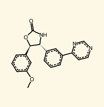 COc1cccc([C@H]2OC(=O)N[C@@H]2c2cccc(-c3ccncn3)c2)c1